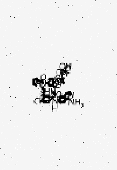 CCOc1cc(C(Nc2ccc3c(N)nccc3c2)C(=O)NCc2cc(NC(=O)N3CCCC3)ccc2S(=O)(=O)C(C)C)ccc1Cl.O=C(O)C(F)(F)F